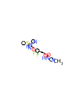 CN1CCC(NC(=O)OCC#Cc2ccc(OCc3nnc(SC4C=CCCC4)n3-c3cccnc3)c(F)c2F)CC1